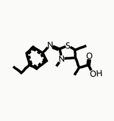 CCc1ccc(N=C2SC(C)C(C(C)C(=O)O)N2C)cc1